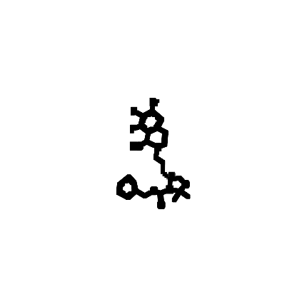 CC1(C)OC[C@@H](CCCN2C=Cc3cc(Br)c(F)c(F)c3C2O)N1C(=O)OCc1ccccc1